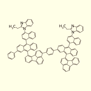 CCc1nc2ccccc2n1-c1ccc(-c2c3ccccc3c(-c3cccc4c3-c3ccc(-c5ccc(-c6ccc7c(-c8ccc(-n9c(CC)nc%10ccccc%109)c9ccccc89)c8ccccc8c(-c8ccc9cccc%10c9c8-c8ccccc8-%10)c7c6)cc5)c5cccc-4c35)c3cc(-c4ccccc4)ccc23)c2ccccc12